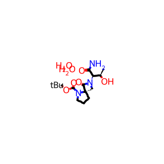 C[C@@H](O)[C@@H](C(N)=O)N1C[C@@]2(CCCN2C(=O)OC(C)(C)C)C1=O.O.O